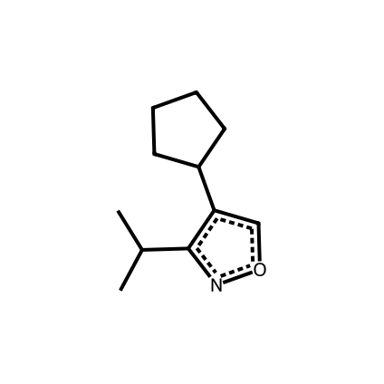 CC(C)c1nocc1C1CCCC1